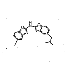 Cc1ccc2oc(Nc3nc4cc(CN(C)C)ccc4o3)nc2c1